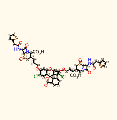 O=C(Cc1cccs1)NC1C(=O)N2C(C(=O)O)=C(/C=C/COc3cc4c(cc3Cl)C3(OC(=O)C5C=CC=CC53)c3cc(Cl)c(OC/C=C/C5=C(C(=O)O)N6C(=O)C(NC(=O)Cc7cccs7)C6[S+]([O-])C5)cc3O4)C[S+]([O-])C12